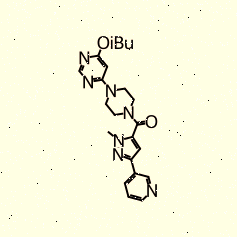 CC(C)COc1cc(N2CCN(C(=O)c3cc(-c4cccnc4)nn3C)CC2)ncn1